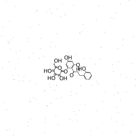 O=C(CCc1ccccc1O)c1c(O)cc(O)cc1O[C@@H]1O[C@H](CO)[C@@H](O)[C@H](O)[C@H]1O